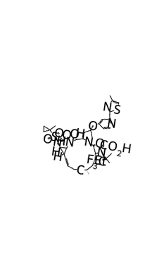 CC[C@@H]1C[C@H](C)CC/C=C\[C@@H]2C[C@@]2(C(=O)NS(=O)(=O)C2(C)CC2)NC(=O)[C@@H]2C[C@@H](Oc3ccnc(-c4nc(C)cs4)c3)CN2C(=O)[C@H]1N(C(=O)O)C(C)(C)C(F)(F)F